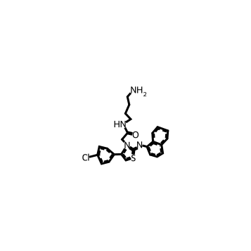 NCCCCNC(=O)Cn1c(-c2ccc(Cl)cc2)cs/c1=N\c1cccc2ccccc12